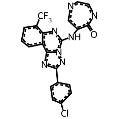 O=c1nccncc1Nc1nc2c(C(F)(F)F)cccc2c2nc(-c3ccc(Cl)cc3)nn12